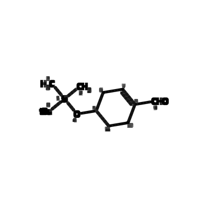 CC(C)(C)[Si](C)(C)OC1CC=C(C=O)CC1